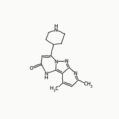 Cc1cc(C)c2c(n1)nn1c(C3CCNCC3)cc(=O)[nH]c21